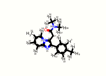 [2H]c1c([2H])c(C([2H])([2H])[2H])c([2H])c([2H])c1-c1nc2c([2H])c([2H])c(C)c([2H])n2c1CC(=O)N(C([2H])([2H])[2H])C([2H])([2H])[2H]